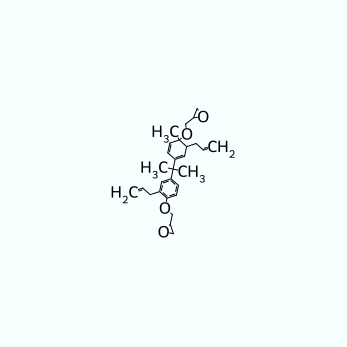 C=CCc1cc(C(C)(C)C2=CC(CC=C)C(C)(OCC3CO3)C=C2)ccc1OCC1CO1